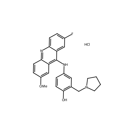 COc1ccc2nc3ccc(F)cc3c(Nc3ccc(O)c(CN4CCCC4)c3)c2c1.Cl